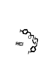 Cl.Cl.O=C(Cc1ccc(I)cc1)CN1CCN(Cc2ccc(F)cc2)CC1